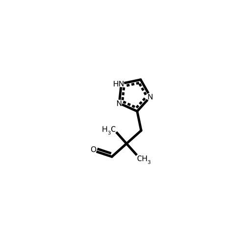 CC(C)(C=O)Cc1nc[nH]n1